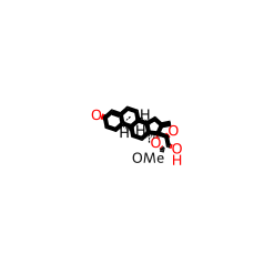 C=C1C[C@H]2[C@@H]3CCC4=CC(=O)CC[C@]4(C)[C@H]3CC[C@]2(C)[C@@]1(OCOC)C(=O)CO